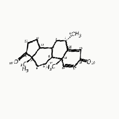 C[C@H]1CC2C(CC[C@]3(C)C(=O)CCC23)[C@@]2(C)C=CC(=O)C=C12